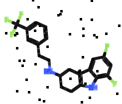 Fc1cc(F)c2[nH]c3c(c2c1)CC(NCCc1cccc(C(F)(F)F)c1)CC3